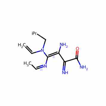 C=CN(CC(C)C)C(/N=C\C)=C(\N)C(=N)C(N)=O